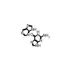 Nc1nc2[nH]cnc2c(=O)[nH]1.c1ncc2nc[nH]c2n1